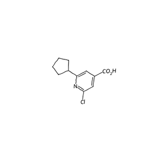 O=C(O)c1cc(Cl)nc(C2CCCC2)c1